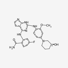 COc1cc(N2CCC[C@H](O)C2)ccc1Nc1nc(Nc2cc(F)ccc2C(N)=O)c2ccnc-2[nH]1